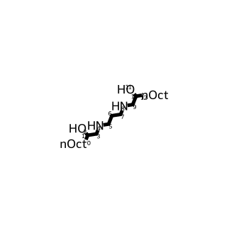 CCCCCCCCC(O)CNCCCNCC(O)CCCCCCCC